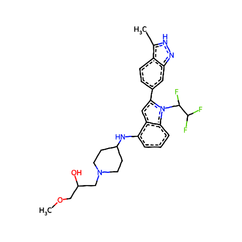 COCC(O)CN1CCC(Nc2cccc3c2cc(-c2ccc4c(C)[nH]nc4c2)n3C(F)C(F)F)CC1